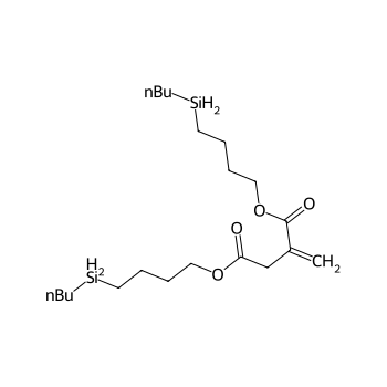 C=C(CC(=O)OCCCC[SiH2]CCCC)C(=O)OCCCC[SiH2]CCCC